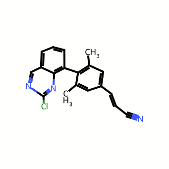 Cc1cc(C=CC#N)cc(C)c1-c1cccc2cnc(Cl)nc12